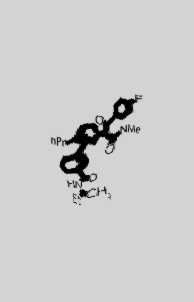 C=C(CC)NC(=O)c1cccc(-c2cc3c(C(=O)NC)c(-c4ccc(F)cc4)oc3cc2CCC)c1